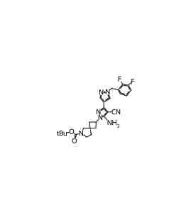 CC(C)(C)OC(=O)N1CC[C@]2(C1)C[C@H](n1nc(-c3cnn(Cc4cccc(F)c4F)c3)c(C#N)c1N)C2